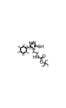 CC(C)(C)OC(=O)NCCn1c(S)nnc1-c1ccccc1